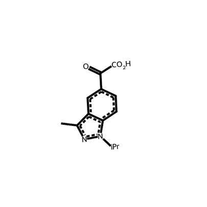 Cc1nn(C(C)C)c2ccc(C(=O)C(=O)O)cc12